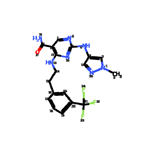 Cn1cc(Nc2ncc(C(N)=O)c(NCCc3cccc(C(F)(F)F)c3)n2)cn1